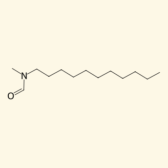 CCCCCCCCCCCN(C)C=O